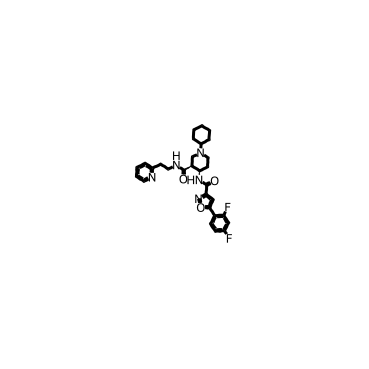 O=C(N[C@H]1CCN(C2CCCCC2)C[C@@H]1C(=O)NCCc1ccccn1)c1cc(-c2ccc(F)cc2F)on1